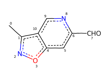 Cc1noc2cc(C=O)ncc12